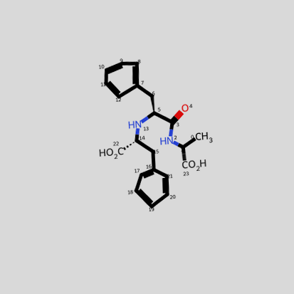 CC(NC(=O)[C@H](Cc1ccccc1)N[C@H](Cc1ccccc1)C(=O)O)C(=O)O